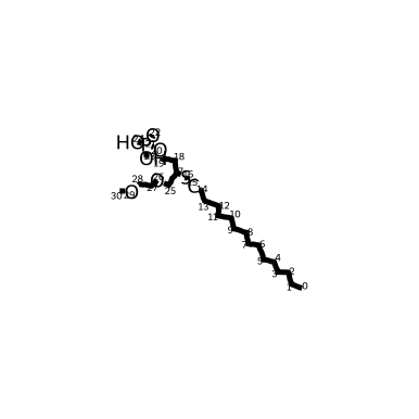 CCCCCCCCCCCCCCCCSC(CCOP(=O)(O)O)COCCOC